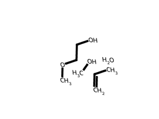 C=CC.CO.COCCO.O